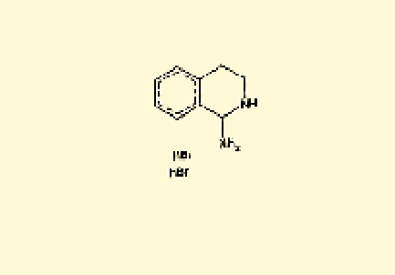 Br.Br.NC1NCCc2ccccc21